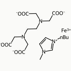 CCCC[n+]1ccn(C)c1.O=C([O-])CN(CCN(CC(=O)[O-])CC(=O)[O-])CC(=O)[O-].[Fe+3]